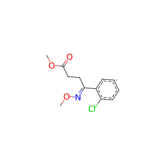 CON=C(CCC(=O)OC)c1c[c]ccc1Cl